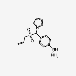 C=CCS(=O)(=O)C(c1ccc(NN)cc1)n1cccc1